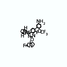 Nc1ccc(OC(F)(F)F)c(-c2ccc3c(N4C[C@H]5CC[C@@H](C4)N5)nc(OC[C@@]45CCCN4C[C@H](F)C5)nc3c2F)c1